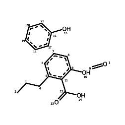 C=O.CCCc1cccc(O)c1C(=O)O.Oc1ccccc1